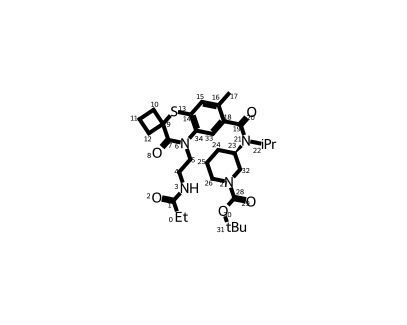 CCC(=O)NCCN1C(=O)C2(CCC2)Sc2cc(C)c(C(=O)N(C(C)C)[C@@H]3CCCN(C(=O)OC(C)(C)C)C3)cc21